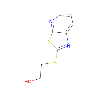 OCCSc1nc2cccnc2s1